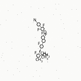 Cc1cc(F)c(C#Cc2ccc(-c3ccc4cc(C(F)(F)Oc5cc(F)c(-c6ccc(C#N)cc6)c(F)c5)ccc4c3)c(F)c2)c(C(C)(C)C)c1